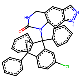 C[C@H](c1ccccc1)c1ccc(Cl)cc1C(c1ccccc1)(c1ccccc1)N1C(=O)NCc2cc3cn[nH]c3cc21